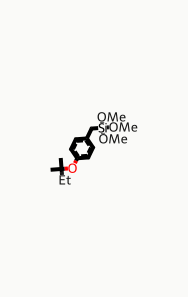 CCC(C)(C)Oc1ccc(C[Si](OC)(OC)OC)cc1